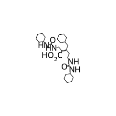 O=C(NCCC(CC1CCCCC1)=C(CNC(=O)NC1CCCCC1)C(=O)O)NC1CCCCC1